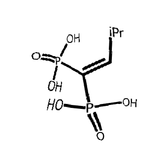 CC(C)C=C(P(=O)(O)O)P(=O)(O)O